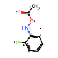 CC(=O)ONc1ccccc1F